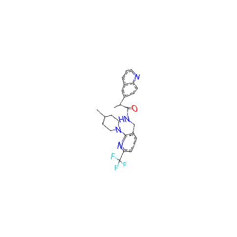 CC1CCN(c2nc(C(F)(F)F)ccc2CNC(=O)C(C)c2ccc3ncccc3c2)CC1